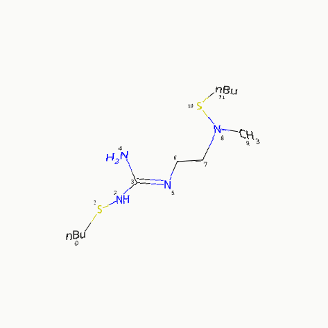 CCCCSN/C(N)=N/CCN(C)SCCCC